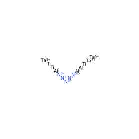 [Al].[Al].[Al].[N-3].[N-3].[N-3].[N-3].[N-3].[Ta+5].[Ta+5].[Ta+5].[Ti].[Ti].[Ti]